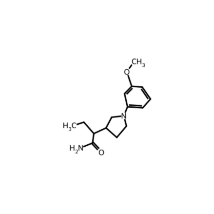 CCC(C(N)=O)C1CCN(c2cccc(OC)c2)C1